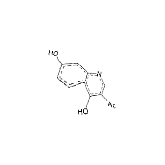 CC(=O)c1cnc2cc(O)ccc2c1O